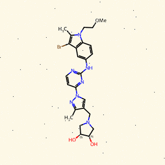 COCCn1c(C)c(Br)c2cc(Nc3nccc(-n4cc(CN5C[C@@H](O)[C@@H](O)C5)c(C)n4)n3)ccc21